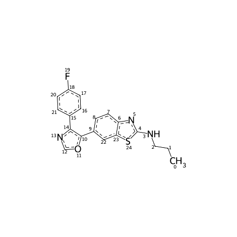 CCCNc1nc2ccc(-c3ocnc3-c3ccc(F)cc3)cc2s1